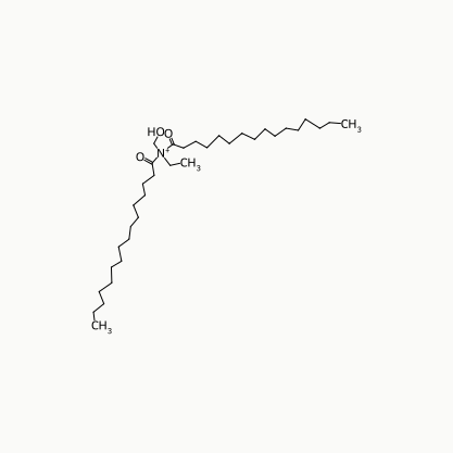 CCCCCCCCCCCCCCCC(=O)[N+](CC)(CO)C(=O)CCCCCCCCCCCCCCC